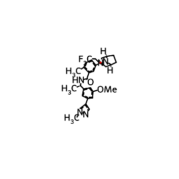 COc1cc(-c2cnn(C)c2)cc([C@@H](C)NC(=O)c2cc(N3C[C@H]4CC[C@@H](C3)N4CCC(F)(F)F)ccc2C)c1